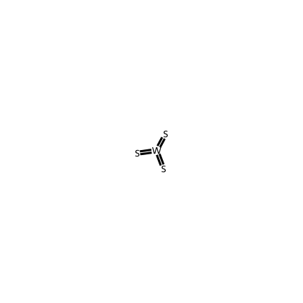 [S]=[W](=[S])=[S]